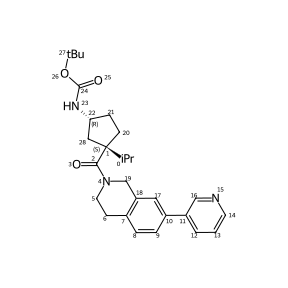 CC(C)[C@]1(C(=O)N2CCc3ccc(-c4cccnc4)cc3C2)CC[C@@H](NC(=O)OC(C)(C)C)C1